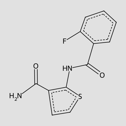 NC(=O)c1ccsc1NC(=O)c1ccccc1F